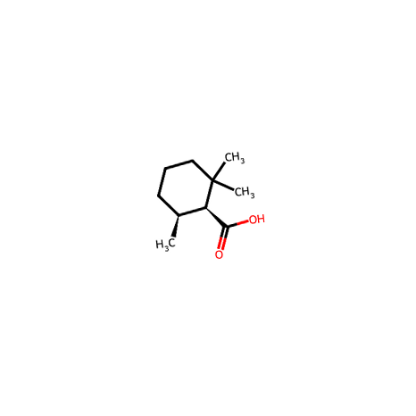 C[C@H]1CCCC(C)(C)[C@H]1C(=O)O